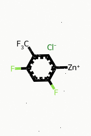 Fc1cc(F)c(C(F)(F)F)c[c]1[Zn+].[Cl-]